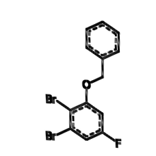 Fc1cc(Br)c(Br)c(OCc2ccccc2)c1